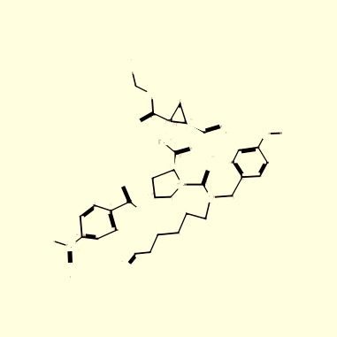 C=CCCCCCN(Cc1ccc(OC)cc1)C(=O)N1C[C@H](OC(=O)c2ccc([N+](=O)[O-])cc2)C[C@H]1C(=O)N[C@]1(C(=O)OCC)C[C@H]1C=C